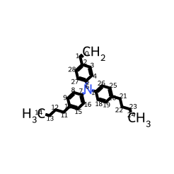 C=Cc1ccc(N(c2ccc(CCCC)cc2)c2ccc(CCCC)cc2)cc1